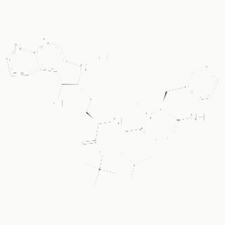 CC(C)C[C@H](N[C@H](CCC1C(O)c2c(cnc3ncccc23)N1O)C(=O)OC(C)(C)C)C(=O)N(C)[C@@H](Cc1ccccc1)C(N)=O